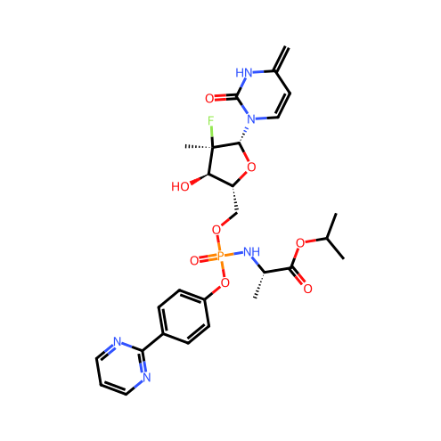 C=C1C=CN([C@@H]2O[C@H](COP(=O)(N[C@@H](C)C(=O)OC(C)C)Oc3ccc(-c4ncccn4)cc3)[C@@H](O)[C@@]2(C)F)C(=O)N1